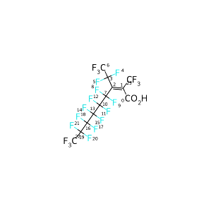 O=C(O)C(=C(C(F)(F)C(F)(F)F)C(F)(F)C(F)(F)C(F)(F)C(F)(F)C(F)(F)C(F)(F)F)C(F)(F)F